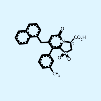 O=C(O)[C@H]1CS(=O)(=O)c2c(-c3cccc(C(F)(F)F)c3)c(Cc3cccc4ccccc34)cc(=O)n21